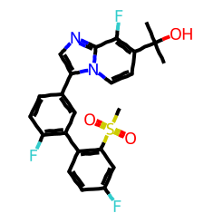 CC(C)(O)c1ccn2c(-c3ccc(F)c(-c4ccc(F)cc4S(C)(=O)=O)c3)cnc2c1F